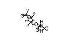 [2H]C(C)(C)NC(=O)OCC(C)(CCC)COC(C)=O